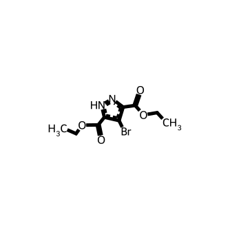 CCOC(=O)c1n[nH]c(C(=O)OCC)c1Br